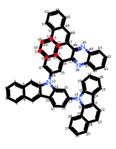 c1ccc2cc3c(cc2c1)c1ccc(-n2c4ccccc4c4ccc5ccccc5c42)cc1n3-c1cc(-c2nc3ccccc3nc2-c2cc3ccccc3c3ccccc23)c2ccccc2c1